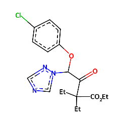 CCOC(=O)C(CC)(CC)C(=O)C(Oc1ccc(Cl)cc1)n1cncn1